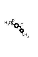 CS(=O)Oc1ccc(C(=O)c2ccc(N)cc2)cc1